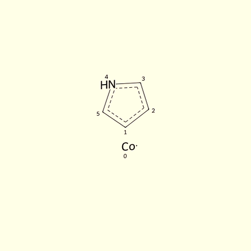 [Co].c1cc[nH]c1